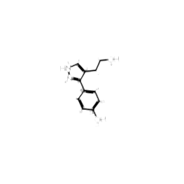 OCCc1c[nH]nc1-c1ccc(O)cc1